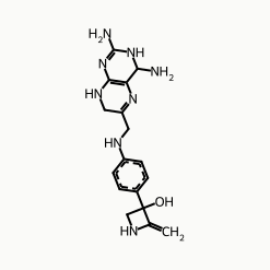 C=C1NCC1(O)c1ccc(NCC2=NC3=C(N=C(N)NC3N)NC2)cc1